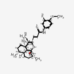 CSc1ccc(NC(=O)CC[C@H]2O[C@@H]3O[C@]4(C)CC[C@H]5[C@H](C)CC[C@@H]([C@H]2C)[C@@]35OO4)cc1F